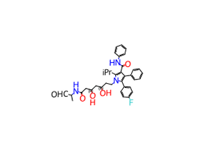 CC(C=O)NC(=O)C[C@H](O)C[C@H](O)CCn1c(-c2ccc(F)cc2)c(-c2ccccc2)c(C(=O)Nc2ccccc2)c1C(C)C